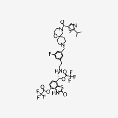 CC(C)c1ncc(C(=O)N2CCOC3(CCN(Cc4cc(F)cc(CCNC[C@H](OC(=O)C(F)(F)F)c5ccc(OC(=O)C(F)(F)F)c6[nH]c(=O)sc56)c4)CC3)C2)s1